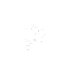 CC[C@H]1O[C@@H](C)CC1O[P@@](=S)(OC[C@H]1O[C@@H](C)CC1O[Si](C)(C)C(C)(C)C)O[C@H](c1ccccc1)[C@@H]1CCCN1